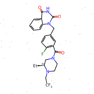 CC[C@H]1CN(C(=O)c2cc(Cn3c(=O)[nH]c(=O)c4ccccc43)ccc2F)CCN1CC(F)(F)F